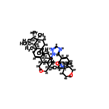 CNC1(CO[C@H]2[C@H](n3ncnc3-c3cccnc3)C[C@@]34COC[C@]2(C)[C@@H]3CC[C@H]2C4=CC[C@@]3(C)[C@H](C(=O)O)[C@@](C)([C@H](C)C(C)C)CC[C@]23C)CCOCC1